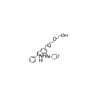 OCCOCCOCc1cc(NC2CCOCC2)c2[nH]c(-c3ccccc3)cc2c1